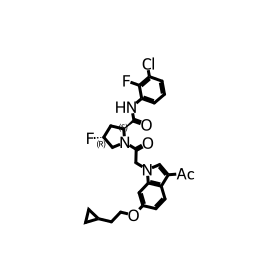 CC(=O)c1cn(CC(=O)N2C[C@H](F)C[C@H]2C(=O)Nc2cccc(Cl)c2F)c2cc(OCCC3CC3)ccc12